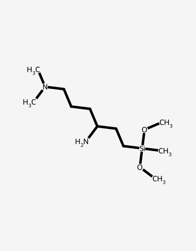 CO[Si](C)(CCC(N)CCCN(C)C)OC